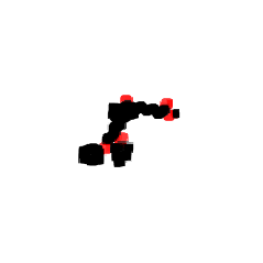 COC(=O)CCCC=C1CC2C(C=CC(COc3ccccc3)O[Si](C)(C)C(C)(C)C)CCC2C1=O